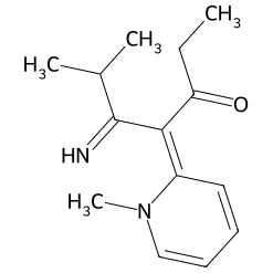 CCC(=O)/C(C(=N)C(C)C)=C1\C=CC=CN1C